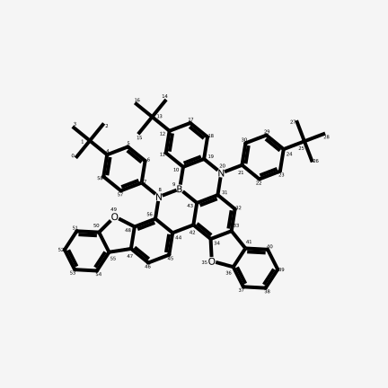 CC(C)(C)c1ccc(N2B3c4cc(C(C)(C)C)ccc4N(c4ccc(C(C)(C)C)cc4)c4cc5c(oc6ccccc65)c(c43)-c3ccc4c(oc5ccccc54)c32)cc1